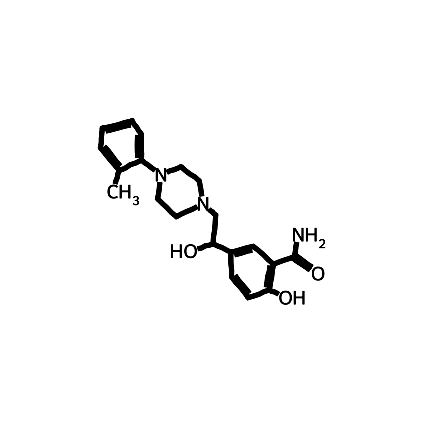 Cc1ccccc1N1CCN(CC(O)c2ccc(O)c(C(N)=O)c2)CC1